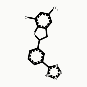 FC(F)(F)c1cc(Cl)c2c(c1)CC(c1cccc(-c3nnn[nH]3)c1)O2